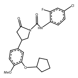 COc1ccc(C2CC(=O)N(C(=O)Nc3ccc(Cl)cc3F)C2)cc1OC1CCCC1